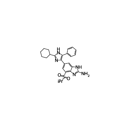 CC(C)S(=O)(=O)c1cc(-c2nc(C3CCCCC3)[nH]c2-c2ccccc2)cc2[nH]c(N)nc12